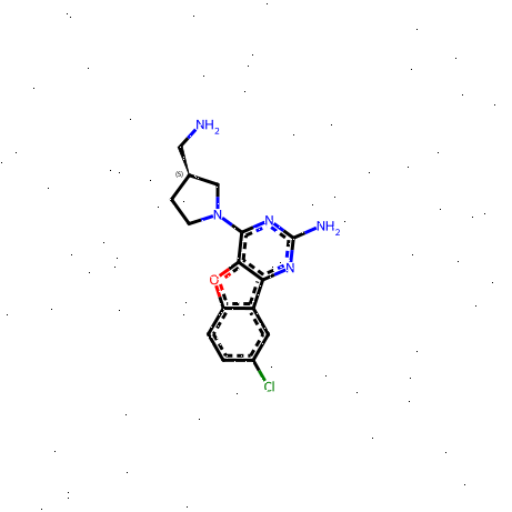 NC[C@@H]1CCN(c2nc(N)nc3c2oc2ccc(Cl)cc23)C1